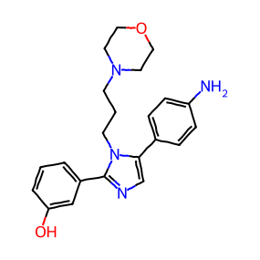 Nc1ccc(-c2cnc(-c3cccc(O)c3)n2CCCN2CCOCC2)cc1